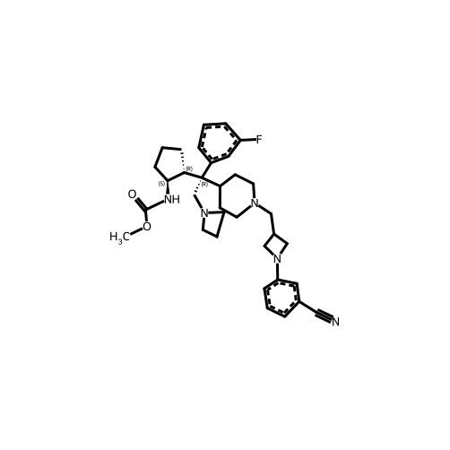 COC(=O)N[C@H]1CCC[C@@H]1[C@@](CN1CCC1)(c1cccc(F)c1)C1CCN(CC2CN(c3cccc(C#N)c3)C2)CC1